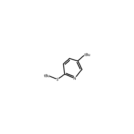 CC(C)(C)Sc1ccc(C(C)(C)C)cn1